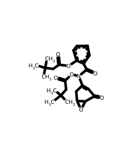 CC(C)(C)CC(=O)Oc1ccccc1C(=O)N(OC(=O)CC(C)(C)C)C1=CC(=O)C2OC2C1